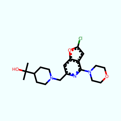 CC(C)(O)C1CCN(Cc2cc3oc(Cl)cc3c(N3CCOCC3)n2)CC1